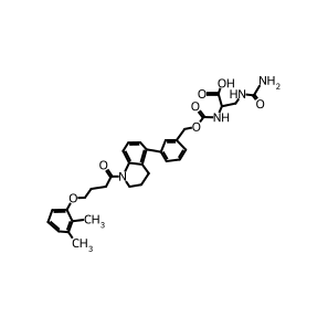 Cc1cccc(OCCCC(=O)N2CCCc3c(-c4cccc(COC(=O)NC(CNC(N)=O)C(=O)O)c4)cccc32)c1C